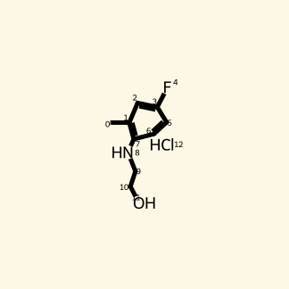 Cc1cc(F)ccc1NCCO.Cl